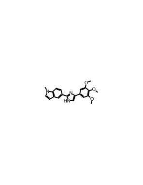 COc1cc(-c2c[nH]c(-c3ccc4c(ccn4C)c3)n2)cc(OC)c1OC